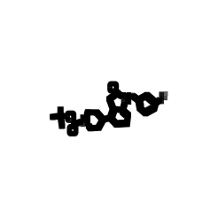 CC(C)(C)OC(=O)N1CCC(c2cccc3c2CC(=O)N3Cc2cccc(F)c2)CC1